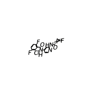 O=C(Nc1ccnc(NC(=O)[C@@H]2C[C@@H]2F)c1)c1c(F)ccc(F)c1Cl